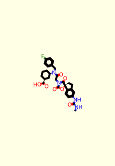 CNC(=O)Nc1ccc2c(c1)CC[C@@]21OC(=O)N(CC(=O)N(Cc2ccc(F)cc2)[C@H]2CCC[C@H](C(=O)O)C2)C1=O